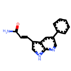 NC(=O)C=Cc1c[nH]c2ncc(-c3ccccc3)cc12